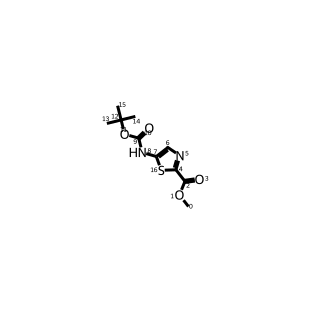 COC(=O)c1ncc(NC(=O)OC(C)(C)C)s1